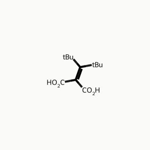 CC(C)(C)C(=C(C(=O)O)C(=O)O)C(C)(C)C